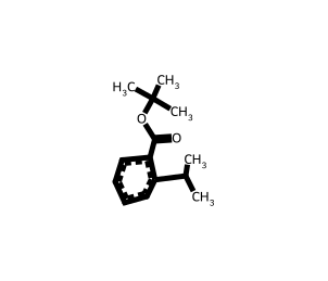 CC(C)c1ccccc1C(=O)OC(C)(C)C